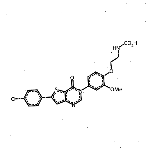 COc1cc(-n2cnc3cc(-c4ccc(Cl)cc4)sc3c2=O)ccc1OCCNC(=O)O